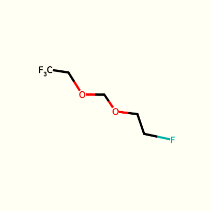 FCCOCOCC(F)(F)F